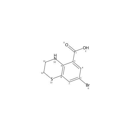 O=C(O)c1cc(Br)cc2c1NCCS2